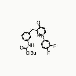 CC(C)COC(=O)Nc1cccc(Cc2nn(-c3ccc(F)c(F)c3)ccc2=O)c1